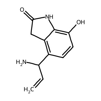 C=CC(N)c1ccc(O)c2c1CC(=O)N2